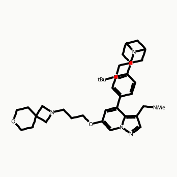 CNCc1cnn2cc(OCCCN3CC4(CCOCC4)C3)cc(-c3ccc(N4CC5CC(C4)N5CCOC(C)(C)C)nc3)c12